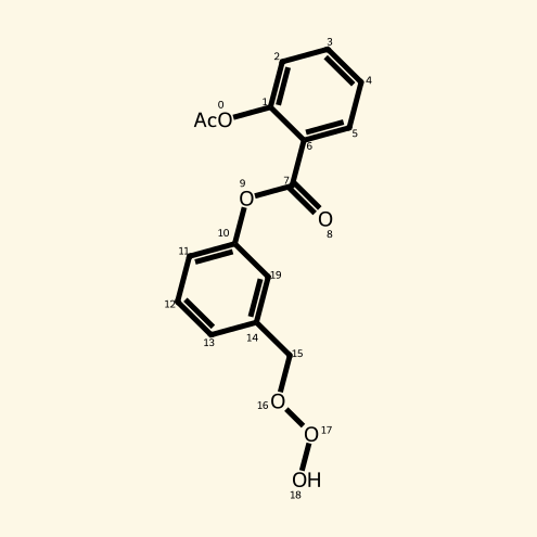 CC(=O)Oc1ccccc1C(=O)Oc1cccc(COOO)c1